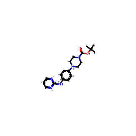 CC(C)(C)OC(=O)N1CCN(c2ccc(Nc3ncccn3)cc2)CC1